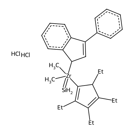 CCC1=C(CC)C(CC)[C]([Zr]([CH3])([CH3])(=[SiH2])[CH]2C=C(c3ccccc3)c3ccccc32)=C1CC.Cl.Cl